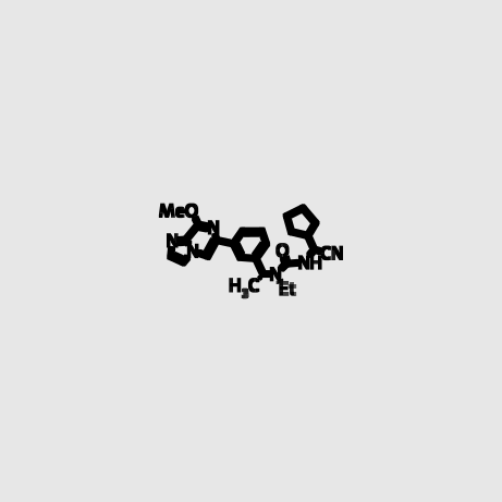 CCN(C(=O)NC(C#N)C1CCCC1)[C@H](C)c1cccc(-c2cn3ccnc3c(OC)n2)c1